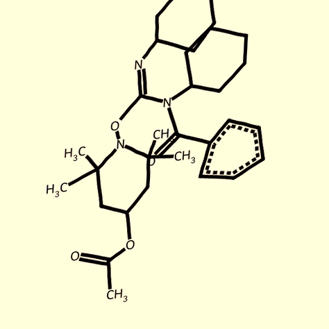 CC(=O)OC1CC(C)(C)N(O/C(=N/C2CCCCC2)N(C(=O)c2ccccc2)C2CCCCC2)C(C)(C)C1